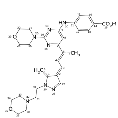 C=c1/c(=C\C=C(/C)c2cc(Nc3ccc(C(=O)O)cc3)nc(N3CCOCC3)n2)cnn1CCN1CCOCC1